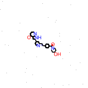 O=C(c1ccc(/C=C/c2cc(-c3cc4c(=O)cccnc4[nH]3)ccn2)cc1)N1CCC(O)CC1